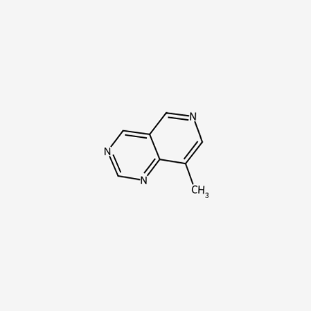 Cc1cncc2cncnc12